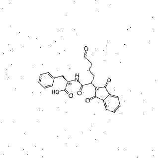 O=CCCCC(C(=O)N[C@H](Cc1ccccc1)C(=O)O)N1C(=O)c2ccccc2C1=O